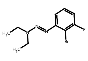 CCN(CC)N=Nc1cccc(F)c1Br